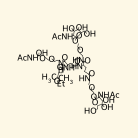 CCOC(C)(C)CCC(=O)NC(CCC(=O)NC(CCC(=O)NCCOCCOC1OC(CO)C(O)C(O)C1NC(C)=O)C(=O)NCCOCCOC1OC(CO)C(O)C(O)C1NC(C)=O)C(=O)NCCOCCOC(O)NC(C)=O